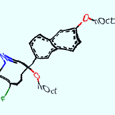 CCCCCCCCOc1ccc2cc(C3(OCCCCCCCC)C=NC=C(F)C3)ccc2c1